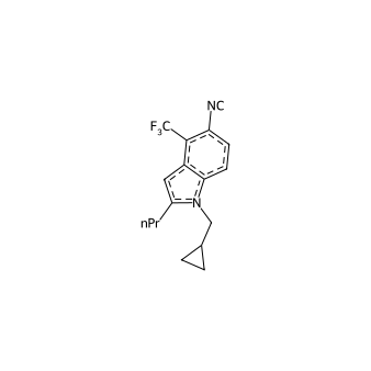 [C-]#[N+]c1ccc2c(cc(CCC)n2CC2CC2)c1C(F)(F)F